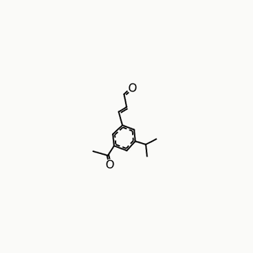 CC(=O)c1cc(C=CC=O)cc(C(C)C)c1